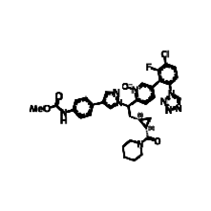 COC(=O)Nc1ccc(-c2cnn(C(C[C@@H]3C[C@@H]3C(=O)N3CCCCC3)c3ccc(-c4c(-n5cnnn5)ccc(Cl)c4F)c[n+]3[O-])c2)cc1